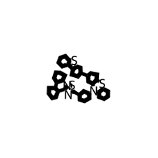 c1ccc(-c2ccccc2-c2nsc(-c3cccc(N4c5ccccc5Sc5ccc(-c6ccc7c(c6)sc6ccccc67)cc54)c3)n2)cc1